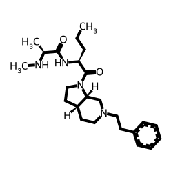 CCC[C@H](NC(=O)[C@H](C)NC)C(=O)N1CC[C@H]2CCN(CCc3ccccc3)C[C@H]21